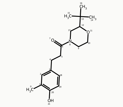 Cc1cc(CCC(=O)N2CCOC(C(C)(C)C)C2)ccc1O